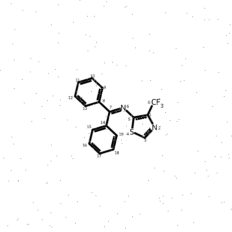 FC(F)(F)c1ncsc1N=C(c1ccccc1)c1ccccc1